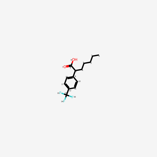 CCCCCC(C(=O)O)c1ccc(C(F)(F)F)cc1